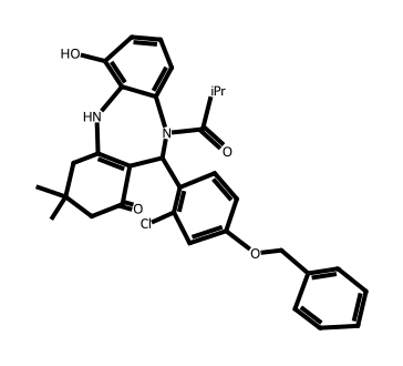 CC(C)C(=O)N1c2cccc(O)c2NC2=C(C(=O)CC(C)(C)C2)C1c1ccc(OCc2ccccc2)cc1Cl